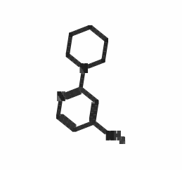 Nc1ccnc(N2CCCCC2)c1